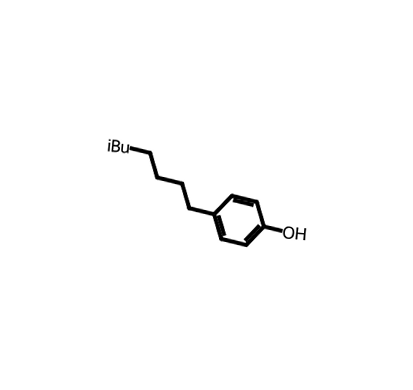 CCC(C)CCCCc1ccc(O)cc1